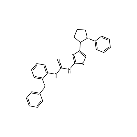 O=C(Nc1nc(C2CCCN2c2ccccc2)cs1)Nc1ccccc1Oc1ccccc1